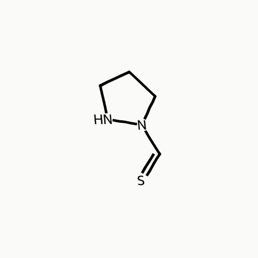 S=CN1CCCN1